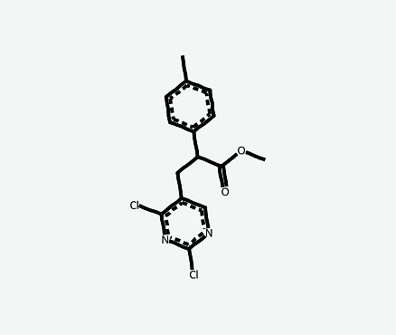 COC(=O)C(Cc1cnc(Cl)nc1Cl)c1ccc(C)cc1